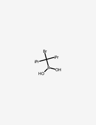 CC(C)C(Br)(B(O)O)C(C)C